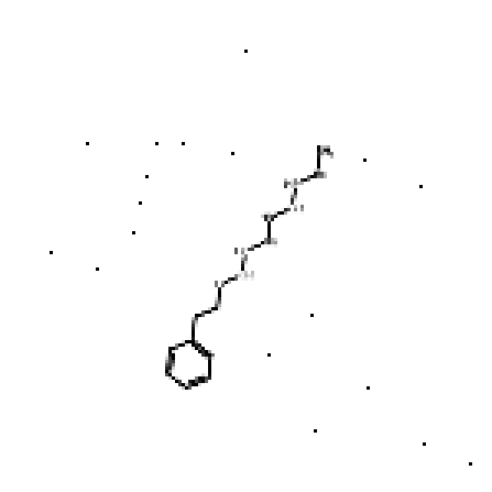 BBBBBBBBBCCc1ccccc1